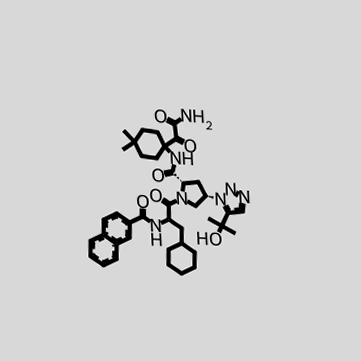 CC1(C)CCC(NC(=O)[C@@H]2C[C@H](n3nncc3C(C)(C)O)CN2C(=O)C(CC2CCCCC2)NC(=O)c2ccc3ccccc3c2)(C(=O)C(N)=O)CC1